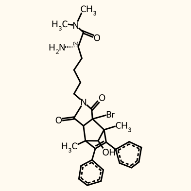 CN(C)C(=O)[C@@H](N)CCCCN1C(=O)C2C3(C)C(c4ccccc4)=C(c4ccccc4)C(C)(C3O)C2(Br)C1=O